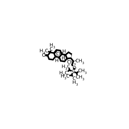 CC(C)[Si](OC[C@@H](C)[C@H]1CC[C@H]2[C@@H]3CC=C4C(C)(C)C(=O)CC[C@]4(C)[C@H]3CC[C@]12C)(C(C)C)C(C)C